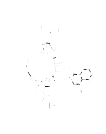 COc1cnc(O[C@@H]2C[C@H]3C(=O)N[C@]4(C(=O)NS(=O)(=O)C5CC5)C[C@H]4/C=C\[C@H](C)CCC[C@@H](C)[C@H](NC(=O)OC(C)(C)C)C(=O)N3C2)c2cccc(Cl)c12